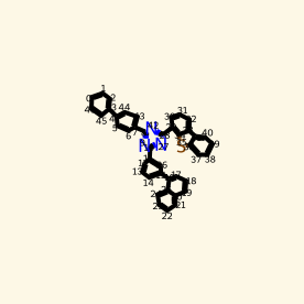 c1ccc(-c2ccc(-c3nc(-c4cccc(-c5cccc6ccccc56)c4)nc(-c4cccc5c4sc4ccccc45)n3)cc2)cc1